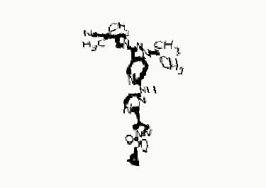 CC(C)n1nc(N2CC(C(C)(C)C#N)C2)c2cnc(Nc3ccnc(-c4cnn(S(=O)(=O)C5CC5)c4)n3)cc21